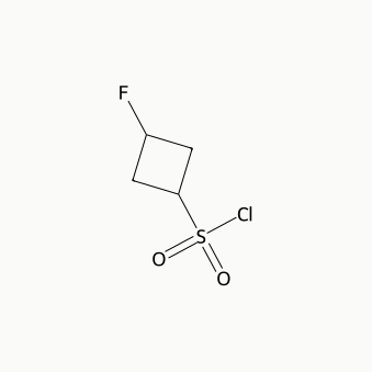 O=S(=O)(Cl)C1CC(F)C1